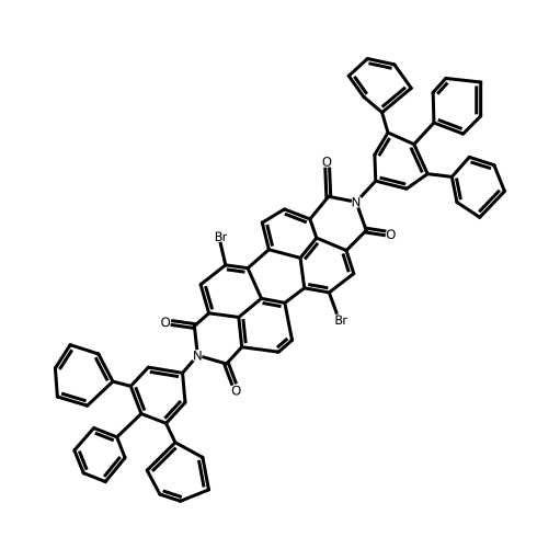 O=C1c2ccc3c4c(Br)cc5c6c(ccc(c7c(Br)cc(c2c37)C(=O)N1c1cc(-c2ccccc2)c(-c2ccccc2)c(-c2ccccc2)c1)c64)C(=O)N(c1cc(-c2ccccc2)c(-c2ccccc2)c(-c2ccccc2)c1)C5=O